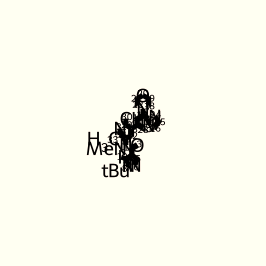 CNN(C(=O)c1cnn(C(C)(C)C)c1I)c1cc(-c2cc(N3CCOCC3)c3nccn3c2)c(C)nc1C